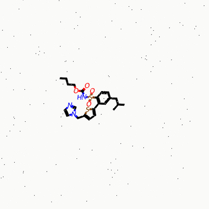 CCCCOC(=O)NS(=O)(=O)c1ccc(CC(C)C)cc1-c1ccc(Cn2ccnc2)s1